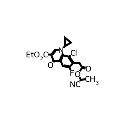 CCOC(=O)c1cn(C2CC2)c2c(Cl)c(CC(=O)OC(C)C#N)c(F)cc2c1=O